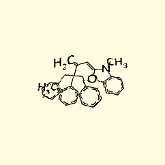 C=C(/C=C1\Oc2ccccc2N1C)C(Cc1ccccc1)(Cc1ccccc1)c1ccccc1C